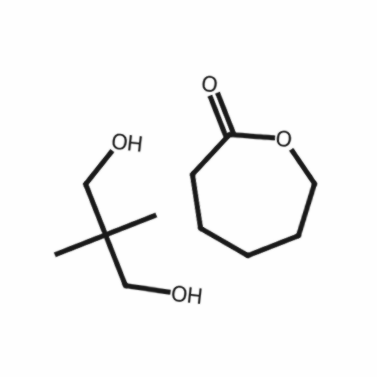 CC(C)(CO)CO.O=C1CCCCCO1